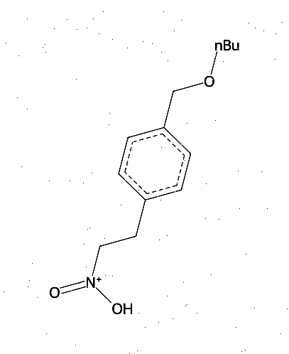 CCCCOCc1ccc(CC[N+](=O)O)cc1